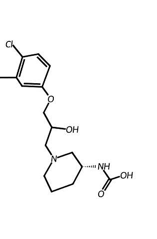 O=C(O)N[C@@H]1CCCN(CC(O)COc2ccc(Cl)c(F)c2)C1